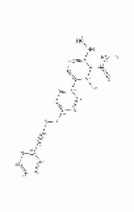 CNC(=O)C(C(=O)NO)N(C)C(=O)c1ccc(OCC#Cc2ccccc2)cc1